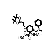 CC(=O)N[C@]1(C(=O)NC(C)(C)C)C[C@H](CCB2OC(C)(C)C(C)(C)O2)CC[C@H]1CN(C)c1ccccc1